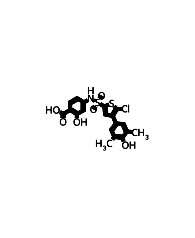 Cc1cc(-c2cc(S(=O)(=O)Nc3ccc(C(=O)O)c(O)c3)sc2Cl)cc(C)c1O